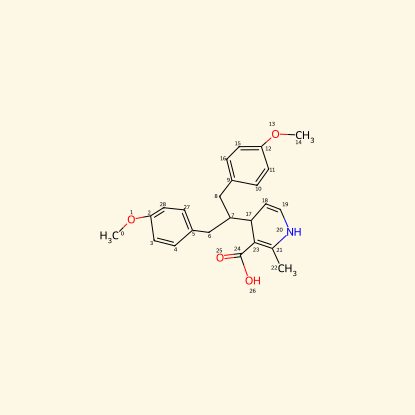 COc1ccc(CC(Cc2ccc(OC)cc2)C2C=CNC(C)=C2C(=O)O)cc1